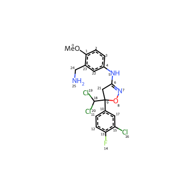 COc1ccc(NC2=NOC(c3ccc(F)c(Cl)c3)(C(Cl)Cl)C2)cc1CN